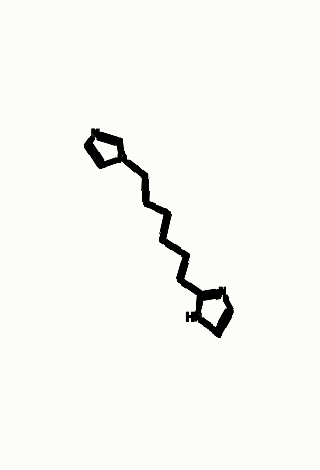 c1cn(CCCCCCc2ncc[nH]2)cn1